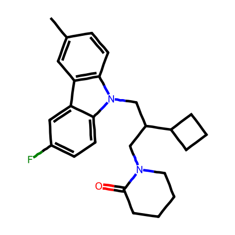 Cc1ccc2c(c1)c1cc(F)ccc1n2CC(CN1CCCCC1=O)C1CCC1